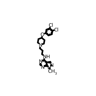 Cn1ncc2c(NCCCN3CCC(Oc4ccc(Cl)c(Cl)c4)CC3)ncnc21